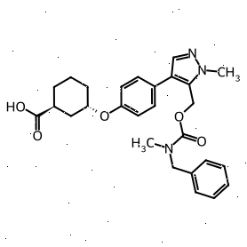 CN(Cc1ccccc1)C(=O)OCc1c(-c2ccc(O[C@H]3CCC[C@H](C(=O)O)C3)cc2)cnn1C